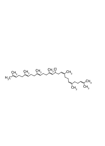 CC(C)=CCCC(C)=CCCC(C)=CCC(Cl)/C=C(\C)CC/C=C(\C)CC/C=C(\C)CCC=C(C)C